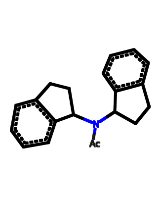 CC(=O)N(C1CCc2ccccc21)C1CCc2ccccc21